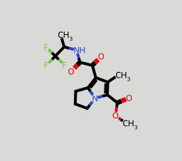 COC(=O)c1c(C)c(C(=O)C(=O)NC(C)C(F)(F)F)c2n1CCC2